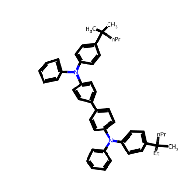 CCCC(C)(C)c1ccc(N(c2ccccc2)c2ccc(-c3ccc(N(c4ccccc4)c4ccc(C(C)(CC)CCC)cc4)cc3)cc2)cc1